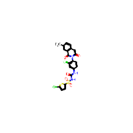 O=C(Nc1ccc(N2C(=O)Cc3ccc(C(F)(F)F)cc3C2=O)c(Cl)c1)NS(=O)(=O)c1ccc(Cl)s1